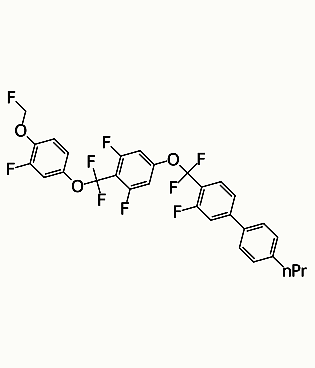 CCCc1ccc(-c2ccc(C(F)(F)Oc3cc(F)c(C(F)(F)Oc4ccc(OCF)c(F)c4)c(F)c3)c(F)c2)cc1